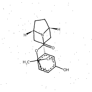 CC(C)(C)OC(=O)N1[C@@H]2CC[C@H]1C[C@@H](c1cccc(O)c1)C2